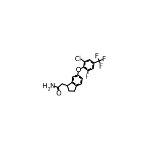 NC(=O)CC1CCc2ccc(Oc3c(F)cc(C(F)(F)F)cc3Cl)cc21